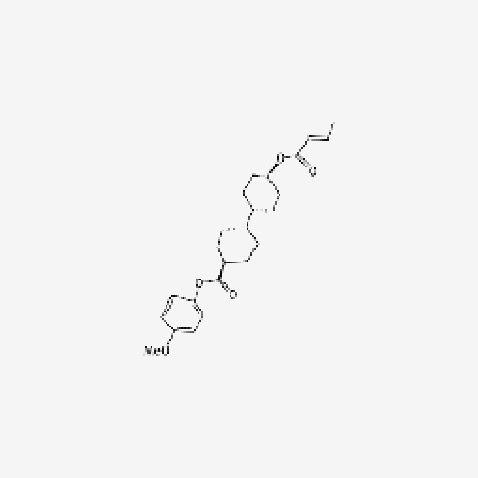 CC=CC(=O)O[C@H]1CC[C@H]([C@H]2CC[C@H](C(=O)Oc3ccc(OC)cc3)CC2)CC1